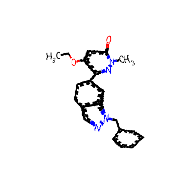 CCOc1cc(=O)n(C)nc1-c1ccc2cnn(Cc3ccccc3)c2c1